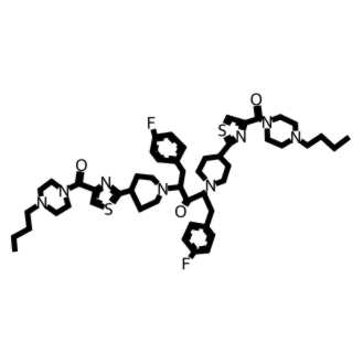 CCCCN1CCN(C(=O)c2csc(C3CCN(C(Cc4ccc(F)cc4)C(=O)C(Cc4ccc(F)cc4)N4CCC(c5nc(C(=O)N6CCN(CCCC)CC6)cs5)CC4)CC3)n2)CC1